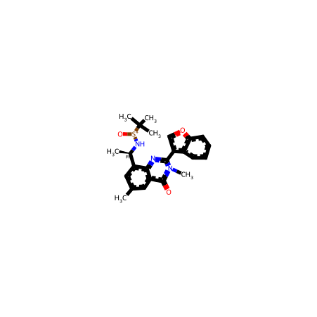 Cc1cc([C@@H](C)N[S+]([O-])C(C)(C)C)c2nc(-c3coc4ccccc34)n(C)c(=O)c2c1